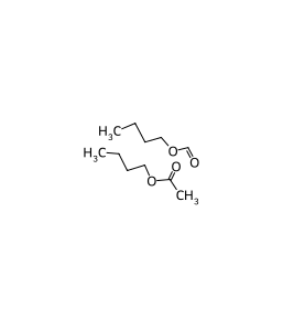 CCCCOC(C)=O.CCCCOC=O